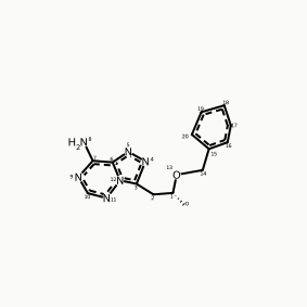 C[C@H](Cc1nnc2c(N)ncnn12)OCc1ccccc1